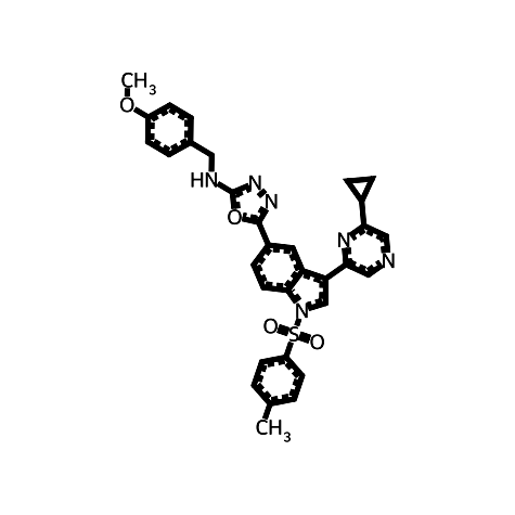 COc1ccc(CNc2nnc(-c3ccc4c(c3)c(-c3cncc(C5CC5)n3)cn4S(=O)(=O)c3ccc(C)cc3)o2)cc1